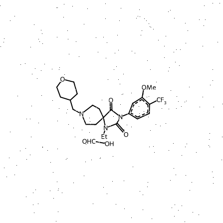 CCN1C(=O)N(c2ccc(C(F)(F)F)c(OC)c2)C(=O)C12CCN(CC1CCOCC1)CC2.O=CO